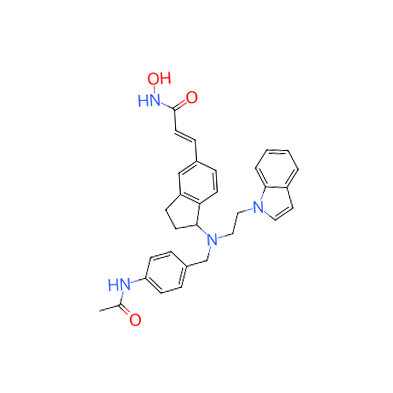 CC(=O)Nc1ccc(CN(CCn2ccc3ccccc32)C2CCc3cc(/C=C/C(=O)NO)ccc32)cc1